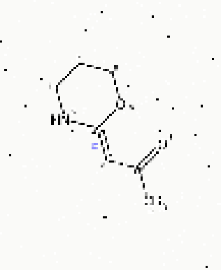 CC(=O)/C=C1/NCCCO1